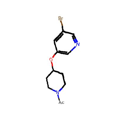 CC(=O)N1CCC(Oc2cncc(Br)c2)CC1